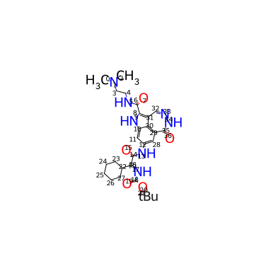 CN(C)CCNC(=O)c1[nH]c2cc(NC(=O)[C@H](NC(=O)OC(C)(C)C)C3CCCCC3)cc3c2c1C=NNC3=O